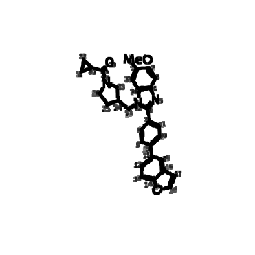 COc1ccc2nc(-c3ccc(-c4ccc5occc5c4)cc3)n(CC3CCN(C(=O)C4CC4)C3)c2c1